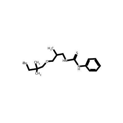 CCC(C)CC(C)(C)COCC(C)CNC(=S)Nc1ccccc1